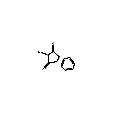 O=C1CCC(=O)N1Br.c1ccccc1